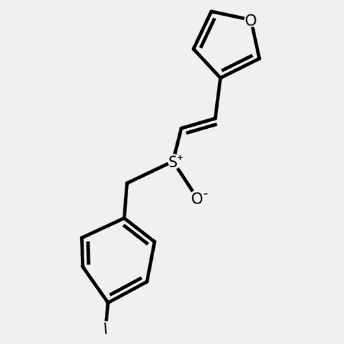 [O-][S+](C=Cc1ccoc1)Cc1ccc(I)cc1